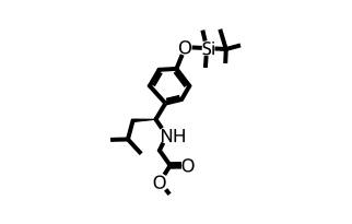 COC(=O)CN[C@@H](CC(C)C)c1ccc(O[Si](C)(C)C(C)(C)C)cc1